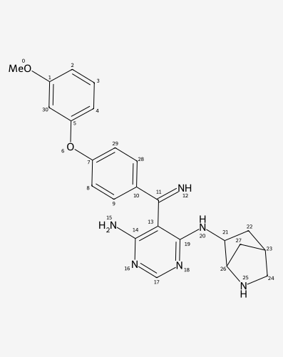 COc1cccc(Oc2ccc(C(=N)c3c(N)ncnc3NC3CC4CNC3C4)cc2)c1